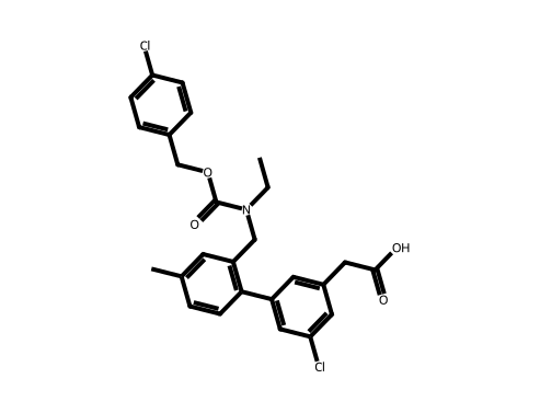 CCN(Cc1cc(C)ccc1-c1cc(Cl)cc(CC(=O)O)c1)C(=O)OCc1ccc(Cl)cc1